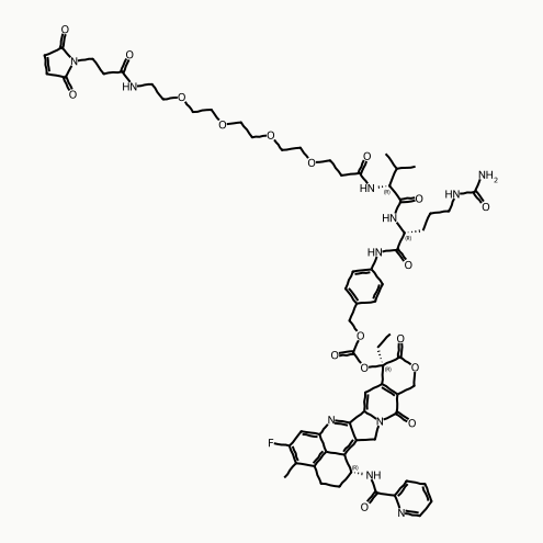 CC[C@]1(OC(=O)OCc2ccc(NC(=O)[C@@H](CCCNC(N)=O)NC(=O)[C@H](NC(=O)CCOCCOCCOCCOCCNC(=O)CCN3C(=O)C=CC3=O)C(C)C)cc2)C(=O)OCc2c1cc1n(c2=O)Cc2c-1nc1cc(F)c(C)c3c1c2[C@H](NC(=O)c1ccccn1)CC3